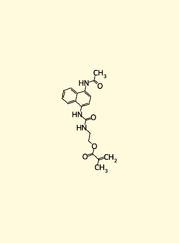 C=C(C)C(=O)OCCNC(=O)Nc1ccc(NC(C)=O)c2ccccc12